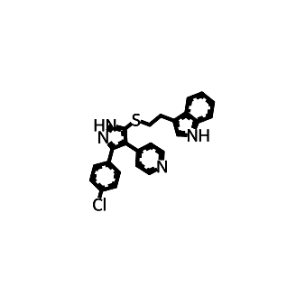 Clc1ccc(-c2n[nH]c(SCCc3c[nH]c4ccccc34)c2-c2ccncc2)cc1